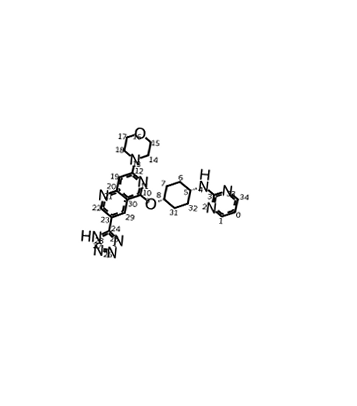 c1cnc(N[C@H]2CC[C@@H](Oc3nc(N4CCOCC4)cc4ncc(-c5nnn[nH]5)cc34)CC2)nc1